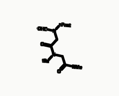 CCCCCN([C]=O)CC(=O)N(CC(=O)NC)C(C)(C)C